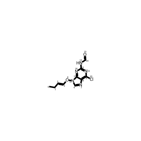 CCC=COn1cnc2c(Cl)nc(NC=O)nc21